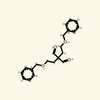 O=[C]C(C=O)(CCOCc1ccccc1)CCOCc1ccccc1